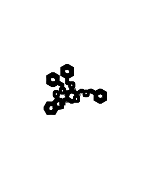 O=C1c2ccccc2CN1[C@@H]1CO[C@H](COCc2ccccc2)[C@H](OCc2ccccc2)[C@@H]1OCc1ccccc1